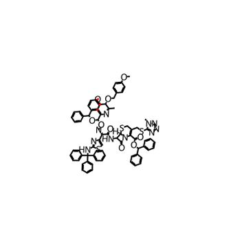 COc1ccc(COC2C(=O)C=C(C(O/N=C(\C(=O)NC3C(=O)N4C(C(=O)OC(c5ccccc5)c5ccccc5)=C(CSc5nnnn5C)CS[C@@H]34)c3csc(NC(c4ccccc4)(c4ccccc4)c4ccccc4)n3)OC(c3ccccc3)c3ccccc3)N=C2C)cc1